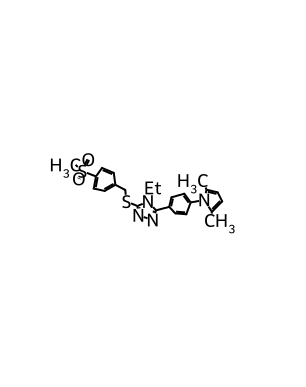 CCn1c(SCc2ccc(S(C)(=O)=O)cc2)nnc1-c1ccc(-n2c(C)ccc2C)cc1